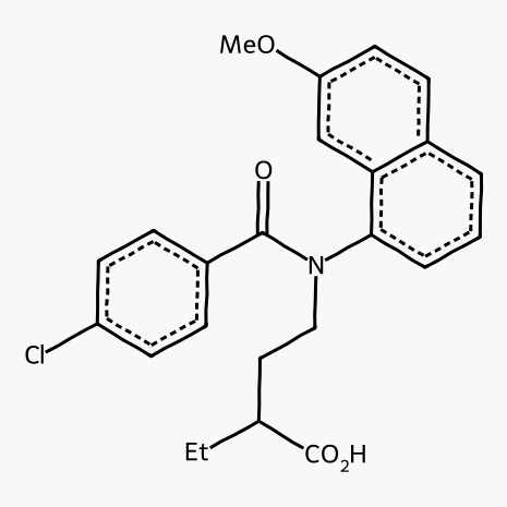 CCC(CCN(C(=O)c1ccc(Cl)cc1)c1cccc2ccc(OC)cc12)C(=O)O